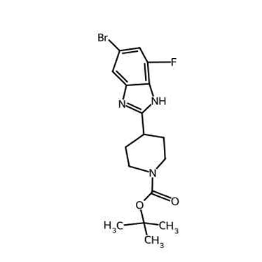 CC(C)(C)OC(=O)N1CCC(c2nc3cc(Br)cc(F)c3[nH]2)CC1